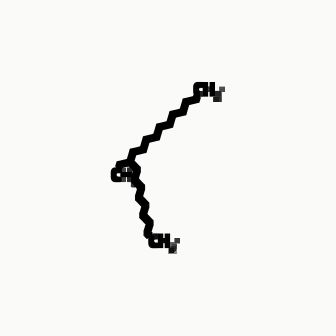 [CH2]CCCCCCCCCCC(CC)CCCCCCCC[CH2]